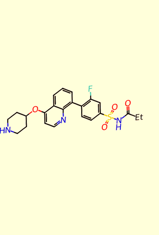 CCC(=O)NS(=O)(=O)c1ccc(-c2cccc3c(OC4CCNCC4)ccnc23)c(F)c1